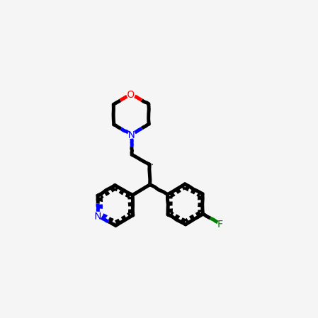 Fc1ccc(C([CH]CN2CCOCC2)c2ccncc2)cc1